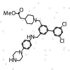 COC(=O)CC1CCN(Cc2cc(CNc3ccc(N4CCNCC4)cc3)cc(-c3cc(Cl)cc(Cl)c3)c2)CC1